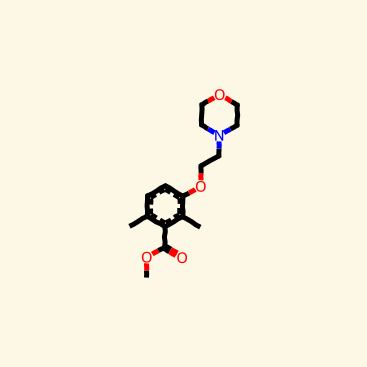 COC(=O)c1c(C)ccc(OCCN2CCOCC2)c1C